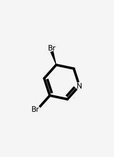 BrC1=C[C@@H](Br)CN=C1